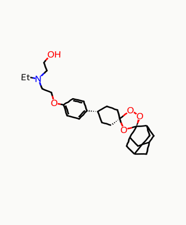 CCN(CCO)CCOc1ccc([C@H]2CC[C@]3(CC2)OO[C@]2(O3)C3CC4CC(C3)CC2C4)cc1